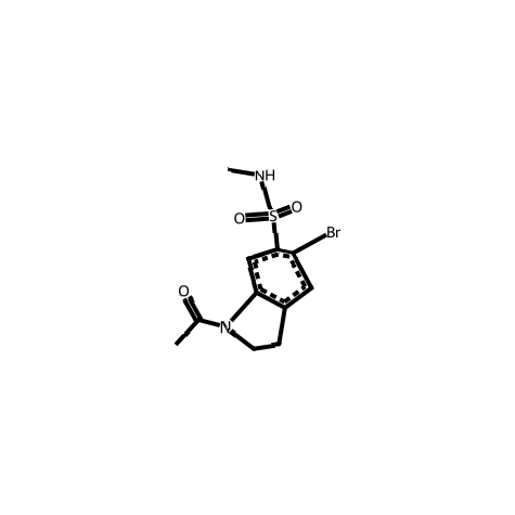 CNS(=O)(=O)c1cc2c(cc1Br)CCN2C(C)=O